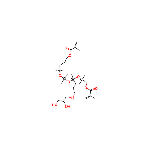 C=C(C)C(=O)OCCC[Si](C)(C)O[Si](C)(C)O[Si](C)(CCCOCC(O)CO)O[Si](C)(C)COC(=O)C(=C)C